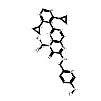 CCSc1ccc(CNc2nc3cnc(-c4c(C5CC5)ncnc4C4CC4)nc3n([C@@H](C)C(C)C)c2=O)nc1